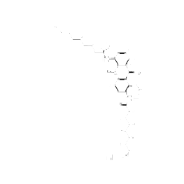 CCCCCCCCCCCCCCCCCC(=O)Nc1cccc(C(=O)c2cccc(NC(=O)CCCCCCCCCCCCCCCCC)c2CCl)c1CCl